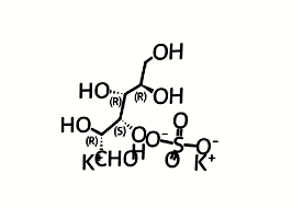 O=C[C@H](O)[C@@H](O)[C@H](O)[C@H](O)CO.O=S(=O)([O-])[O-].[K+].[K+]